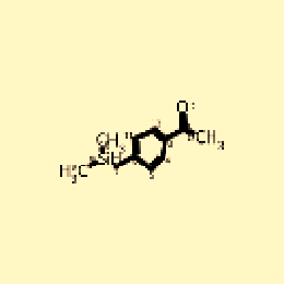 CC(=O)c1ccc(C[SiH](C)C)cc1